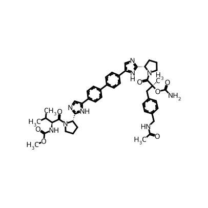 COC(=O)N[C@H](C(=O)N1CCC[C@H]1c1ncc(-c2ccc(-c3ccc(-c4cnc([C@@H]5CCCN5C(=O)[C@](C)(Cc5ccc(CNC(C)=O)cc5)OC(N)=O)[nH]4)cc3)cc2)[nH]1)C(C)C